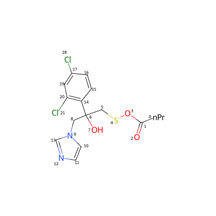 CCCC(=O)OSCC(O)(Cn1ccnc1)c1ccc(Cl)cc1Cl